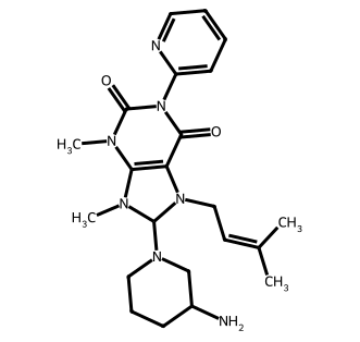 CC(C)=CCN1c2c(n(C)c(=O)n(-c3ccccn3)c2=O)N(C)C1N1CCCC(N)C1